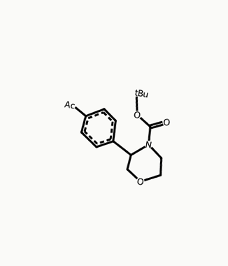 CC(=O)c1ccc(C2COCCN2C(=O)OC(C)(C)C)cc1